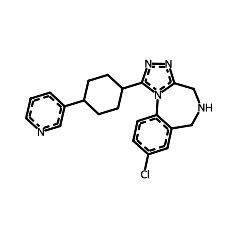 Clc1ccc2c(c1)CNCc1nnc(C3CCC(c4cccnc4)CC3)n1-2